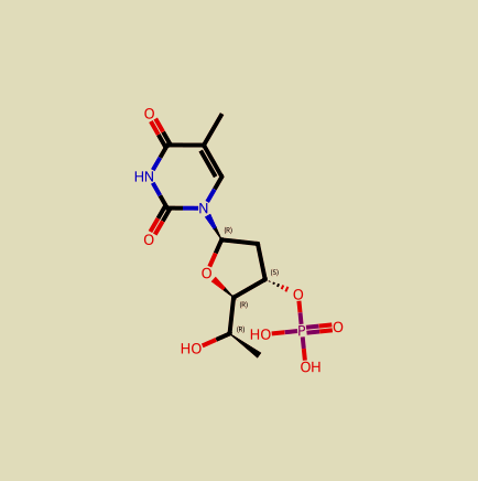 Cc1cn([C@H]2C[C@H](OP(=O)(O)O)[C@@H]([C@@H](C)O)O2)c(=O)[nH]c1=O